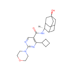 O=C(N[C@H]1C2CC3CC1C[C@@](O)(C3)C2)c1cnc(N2CCOCC2)nc1C1CCC1